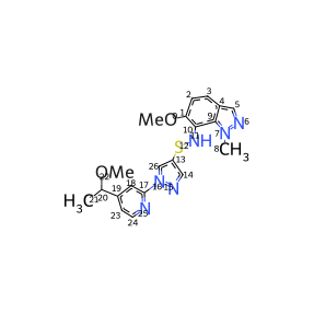 COc1ccc2cnn(C)c2c1NSc1cnn(-c2cc(C(C)OC)ccn2)c1